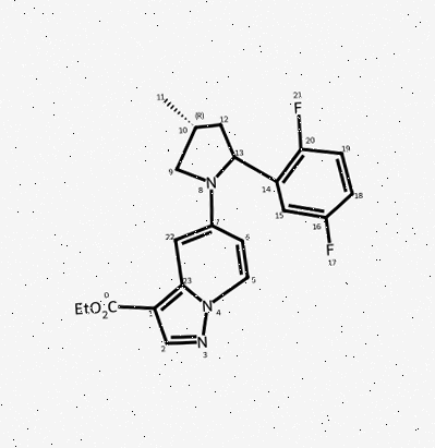 CCOC(=O)c1cnn2ccc(N3C[C@H](C)CC3c3cc(F)ccc3F)cc12